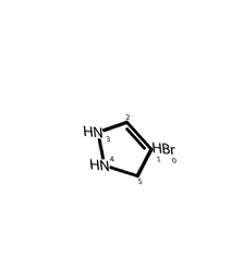 Br.C1=CNNC1